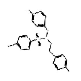 O=C(O)c1ccc(CN(CCc2ccc(Cl)cc2)S(=O)(=O)c2ccc(Cl)cc2)cc1